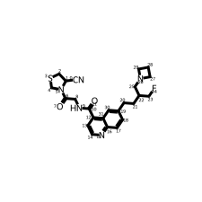 N#CC1CSCN1C(=O)CNC(=O)c1ccnc2ccc(CCC(CF)CN3CCC3)cc12